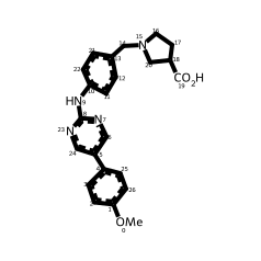 COc1ccc(-c2cnc(Nc3ccc(CN4CCC(C(=O)O)C4)cc3)nc2)cc1